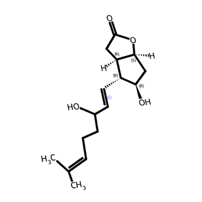 CC(C)=CCCC(O)/C=C/[C@@H]1[C@H]2CC(=O)O[C@H]2C[C@H]1O